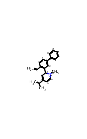 C=Cc1ccc(-c2ccccc2)cc1C1C=C(C(C)C)C=CN1C